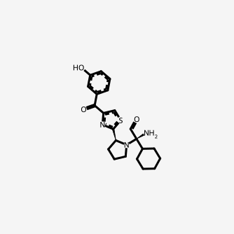 N[C@@](C=O)(C1CCCCC1)N1CCC[C@H]1c1nc(C(=O)c2cccc(O)c2)cs1